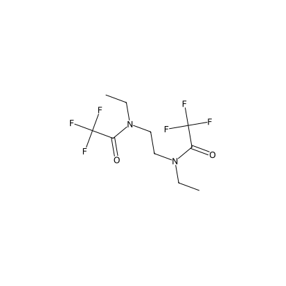 CCN(CCN(CC)C(=O)C(F)(F)F)C(=O)C(F)(F)F